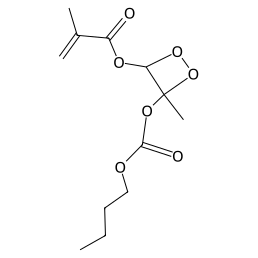 C=C(C)C(=O)OC1OOC1(C)OC(=O)OCCCC